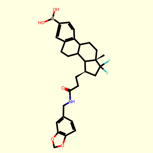 C[C@]12CCC3c4ccc(B(O)O)cc4CCC3C1[C@H](CCC(=O)NCc1ccc3c(c1)OCO3)CC2(F)F